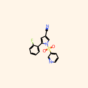 N#Cc1cc(-c2ccccc2F)n(S(=O)(=O)c2cccnc2)c1